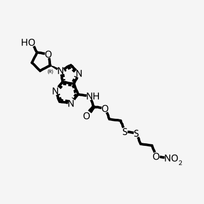 O=C(Nc1ncnc2c1ncn2[C@H]1CCC(O)O1)OCCSSCCO[N+](=O)[O-]